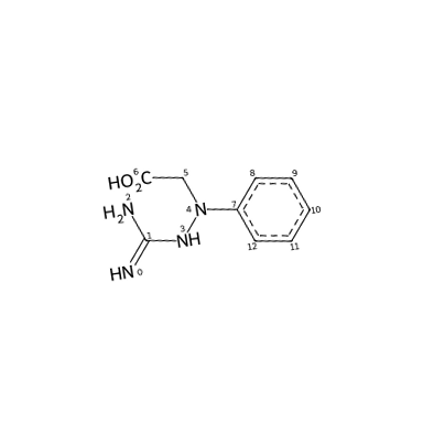 N=C(N)NN(CC(=O)O)c1ccccc1